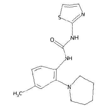 Cc1ccc(NC(=O)Nc2nccs2)c(N2CCCCC2)c1